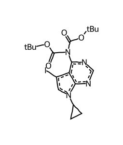 CC(C)(C)OC(=O)N(C(=O)OC(C)(C)C)c1ncnc2c1c(I)cn2C1CC1